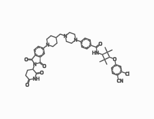 CC1(C)C(NC(=O)c2ccc(N3CCN(CC4CCN(c5ccc6c(c5)C(=O)N(C5CCC(=O)NC5=O)C6=O)CC4)CC3)cc2)C(C)(C)C1Oc1ccc(C#N)c(Cl)c1